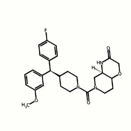 COc1cccc([C@@H](c2ccc(F)cc2)C2CCN(C(=O)N3CCC4OCC(=O)N[C@@H]4C3)CC2)c1